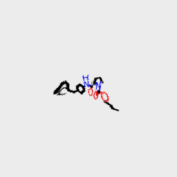 CCCCOC(=O)N1CCC[C@H]1C(=O)Nc1ccc(Cc2ccccc2)cc1